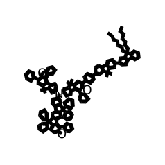 CCCCCCCC1(CCCCCCC)c2ccccc2-c2ccc(-c3ccc4c(c3)C(C)(C)c3cc(-c5ccc(-c6cc7c(c8c6oc6ccccc68)-c6ccc(N(c8ccc9c(c8)C(C)(C)c8cc(-c%10ccccc%10)c%10oc%11ccccc%11c%10c8-9)c8ccc9c(c8)C(c8ccccc8)(c8ccccc8)C8=C9CC9C(=C8)c8c(ccc%10oc%11ccccc%11c8%10)C9(c8ccccc8)c8ccccc8)cc6C7(C)C)cc5)ccc3-4)cc21